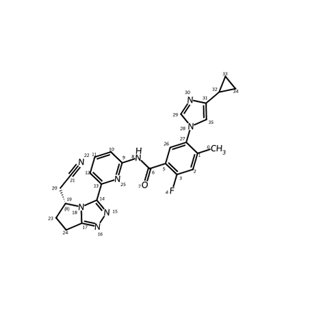 Cc1cc(F)c(C(=O)Nc2cccc(-c3nnc4n3[C@@H](CC#N)CC4)n2)cc1-n1cnc(C2CC2)c1